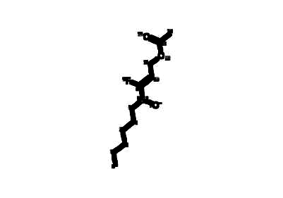 CCCCCC[S+]([O-])C(F)=CCOC(C)=O